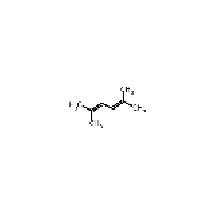 CC(C)=CC=C(C)C